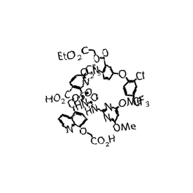 CCOC(=O)COC(=O)c1cc(Oc2ccc(C(F)(F)F)cc2Cl)ccc1[N+](=O)[O-].COc1cc(OC)nc(NC(=O)NS(=O)(=O)c2nc(C(F)(F)F)ccc2C(=O)O)n1.O=C(O)COc1ccc(Cl)c2cccnc12